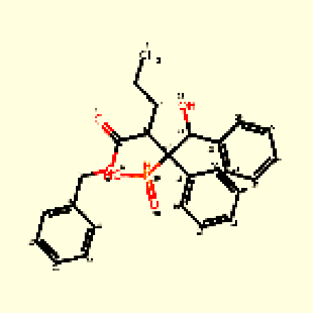 CCCC(C(=O)OCc1ccccc1)C(c1ccccc1)(C(O)c1ccccc1)[PH](=O)O